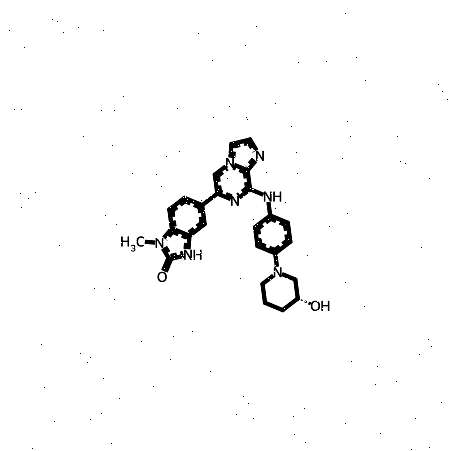 Cn1c(=O)[nH]c2cc(-c3cn4ccnc4c(Nc4ccc(N5CCC[C@@H](O)C5)cc4)n3)ccc21